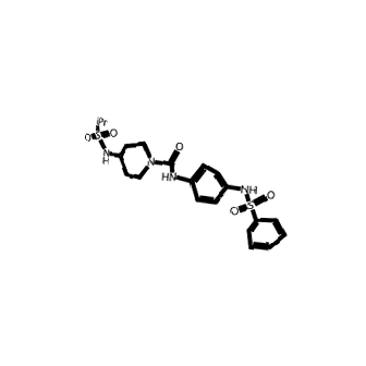 CC(C)S(=O)(=O)NC1CCN(C(=O)Nc2ccc(NS(=O)(=O)c3ccccc3)cc2)CC1